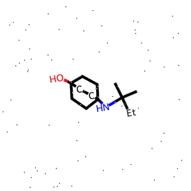 CCC(C)(C)NC12CCC(O)(CC1)CC2